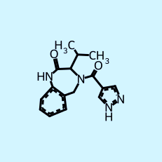 CC(C)C1C(=O)Nc2ccccc2CN1C(=O)c1cn[nH]c1